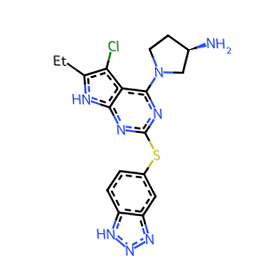 CCc1[nH]c2nc(Sc3ccc4[nH]nnc4c3)nc(N3CC[C@@H](N)C3)c2c1Cl